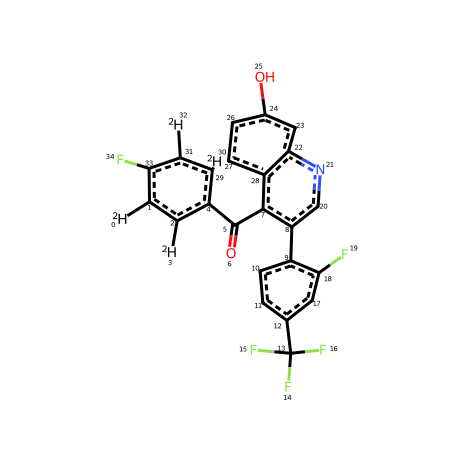 [2H]c1c([2H])c(C(=O)c2c(-c3ccc(C(F)(F)F)cc3F)cnc3cc(O)ccc23)c([2H])c([2H])c1F